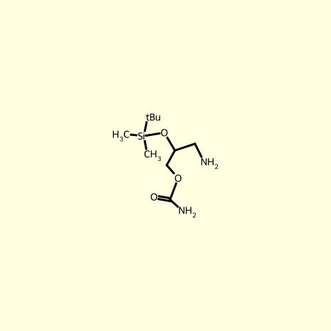 CC(C)(C)[Si](C)(C)OC(CN)COC(N)=O